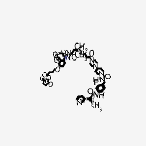 C[C@H]1[C@H](C(=O)Nc2ccc(CNC(=O)N3CCC(N4CCN(C(=O)CCSSC(C)(C)CC(=O)N/N=C5\CCS(=O)(=O)c6cc(OCCCC(=O)ON7C(=O)CCC7=O)ccc65)CC4)CC3)c(F)c2)[C@H]1c1cccnc1